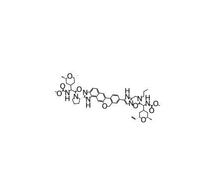 C=C[C@@H]1CC([C@H](NC(=O)OC)C(=O)N(Cc2ncc(-c3ccc4c(c3)COc3cc5c(ccc6nc([C@@H]7CC[C@H](C)N7C(=O)[C@@H](NC(=O)OC)C7C[C@@H](C)O[C@H](C)C7)[nH]c65)cc3-4)[nH]2)[C@@H](C)CC)C[C@@H](C)O1